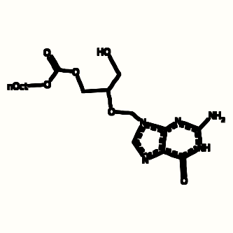 CCCCCCCCOC(=O)OCC(CO)OCn1cnc2c(=O)[nH]c(N)nc21